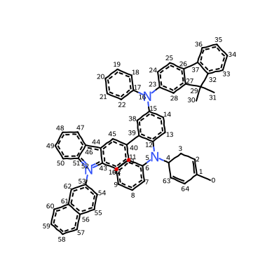 CC1=CCC(N(c2ccccc2)c2ccc(N(c3ccccc3)c3ccc4c(c3)C(C)(C)c3ccccc3-4)cc2-c2ccc3c(c2)c2ccccc2n3-c2ccc3ccccc3c2)C=C1